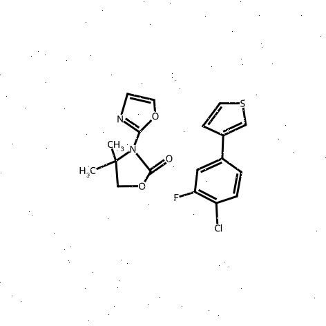 CC1(C)COC(=O)N1c1ncco1.Fc1cc(-c2ccsc2)ccc1Cl